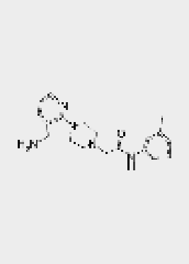 Cc1cccc(NC(=O)CN2CCN(c3ncccc3CN)CC2)c1